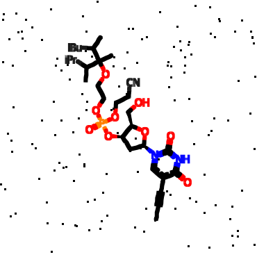 CC#Cc1cn([C@H]2C[C@@H](OP(=O)(OCCC#N)OCCOC(C)(C(C)C(C)C)C(C)C(C)CC)[C@@H](CO)O2)c(=O)[nH]c1=O